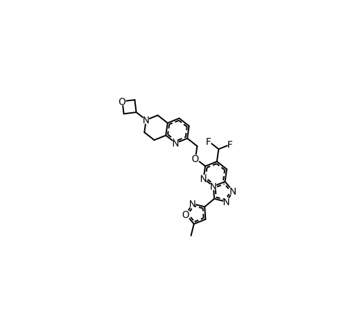 Cc1cc(-c2nnc3cc(C(F)F)c(OCc4ccc5c(n4)CCN(C4COC4)C5)nn23)no1